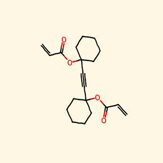 C=CC(=O)OC1(C#CC2(OC(=O)C=C)CCCCC2)CCCCC1